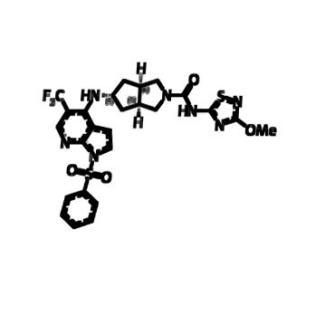 COc1nsc(NC(=O)N2C[C@H]3C[C@H](Nc4c(C(F)(F)F)cnc5c4ccn5S(=O)(=O)c4ccccc4)C[C@H]3C2)n1